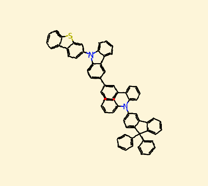 c1ccc(N(c2ccc3c(c2)-c2ccccc2C3(c2ccccc2)c2ccccc2)c2ccccc2-c2cccc(-c3ccc4c(c3)c3ccccc3n4-c3ccc4c(c3)sc3ccccc34)c2)cc1